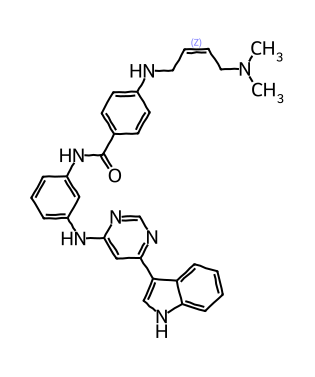 CN(C)C/C=C\CNc1ccc(C(=O)Nc2cccc(Nc3cc(-c4c[nH]c5ccccc45)ncn3)c2)cc1